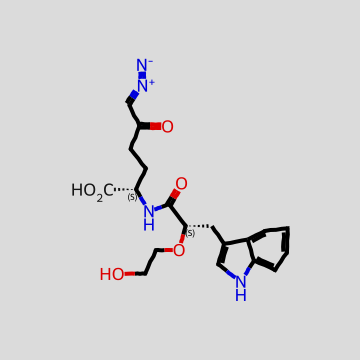 [N-]=[N+]=CC(=O)CC[C@H](NC(=O)[C@H](Cc1c[nH]c2ccccc12)OCCO)C(=O)O